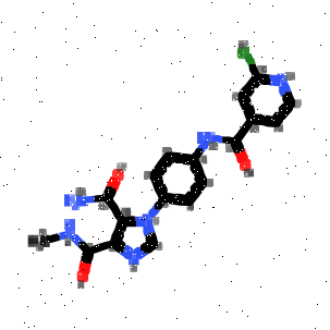 CNC(=O)c1ncn(-c2ccc(NC(=O)c3ccnc(Cl)c3)cc2)c1C(N)=O